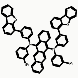 CC(C)c1cccc(N(c2cccc(-c3cccc4c3sc3ccccc34)c2)c2c3ccccc3c(N(c3cccc(-c4cccc5c4sc4ccccc45)c3)c3cccc(C(C)C)c3)c3cc4ccccc4cc23)c1